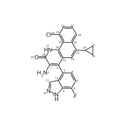 Nc1c(-c2ccc(F)c3[nH]ncc23)c2cc(C3CC3)c3cccc(Cl)c3c2[nH]c1=O